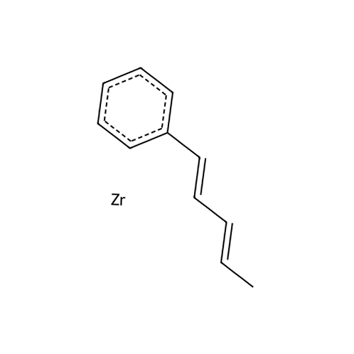 CC=CC=Cc1ccccc1.[Zr]